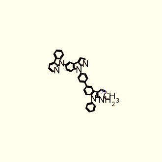 C/C=C\c1c(N)n(-c2ccccc2)c2ccc(-c3ccc(N4c5ccc(-n6c7ccccc7c7cccnc76)cc5C5=CC=NC54)cc3)cc12